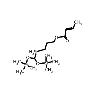 CC=CC(=O)OCCC[SiH2]C(O[Si](C)(C)C)O[Si](C)(C)C